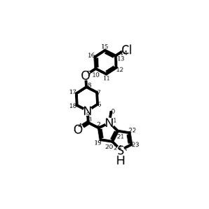 Cn1c(C(=O)N2CCC(Oc3ccc(Cl)cc3)CC2)cc2c1C=C[SH]2